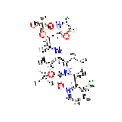 CC(C)(C)OC(=O)N1[C@@H](c2cccc(C(OS(C)(=O)=O)c3ncco3)n2)CCC[C@H]1c1ncccc1Cl